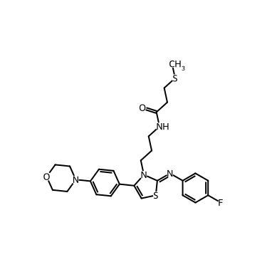 CSCCC(=O)NCCCn1c(-c2ccc(N3CCOCC3)cc2)cs/c1=N\c1ccc(F)cc1